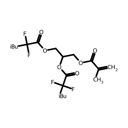 C=C(C)C(=O)OCC(COC(=O)C(F)(F)C(C)CC)OC(=O)C(F)(F)C(C)CC